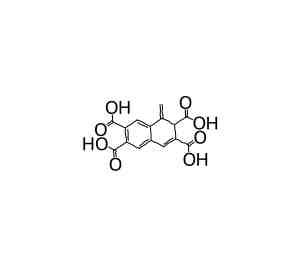 C=C1c2cc(C(=O)O)c(C(=O)O)cc2C=C(C(=O)O)C1C(=O)O